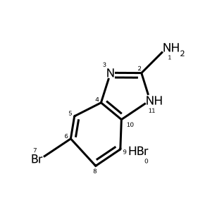 Br.Nc1nc2cc(Br)ccc2[nH]1